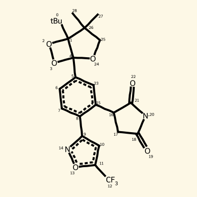 CC(C)(C)C12OOC1(c1ccc(-c3cc(C(F)(F)F)on3)c(C3CC(=O)[N]C3=O)c1)OCC2(C)C